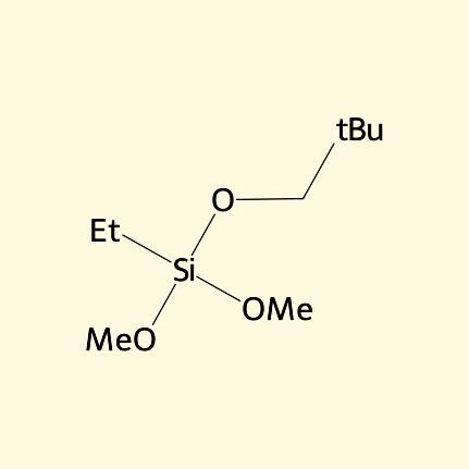 CC[Si](OC)(OC)OCC(C)(C)C